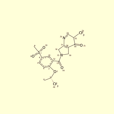 C[C@H](Oc1ccc(S(C)(=O)=O)cc1C(=O)N1CC2=C(C1)C(=O)C(C(F)(F)F)C=N2)C(F)(F)F